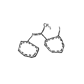 CC(=Nc1ccccc1)c1ccccc1I